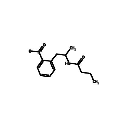 CCCC(=O)NC(C)Cc1ccccc1[N+](=O)[O-]